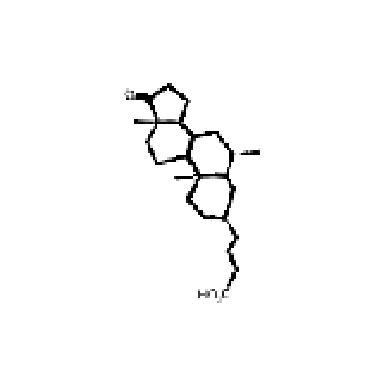 C[C@@H]1CC2C(CC[C@]3(C)C(=O)CCC23)[C@@]2(C)CC[C@H](CCCC(=O)O)CC12